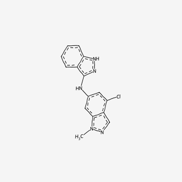 Cn1ncc2c(Cl)cc(Nc3n[nH]c4ccccc34)cc21